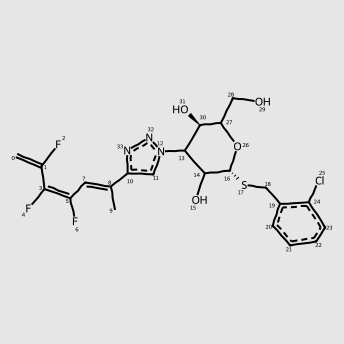 C=C(F)/C(F)=C(F)\C=C(/C)c1cn(C2C(O)[C@@H](SCc3ccccc3Cl)OC(CO)[C@@H]2O)nn1